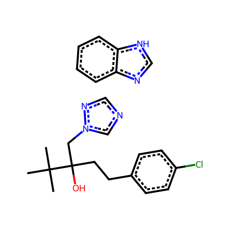 CC(C)(C)C(O)(CCc1ccc(Cl)cc1)Cn1cncn1.c1ccc2[nH]cnc2c1